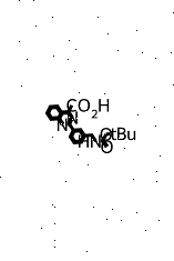 CC(C)(C)OC(=O)NCc1cccc(-c2nc(C(=O)O)c3ccccc3n2)c1